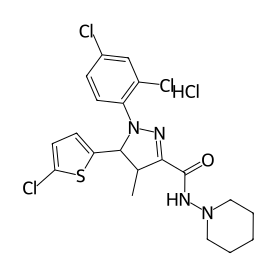 CC1C(C(=O)NN2CCCCC2)=NN(c2ccc(Cl)cc2Cl)C1c1ccc(Cl)s1.Cl